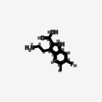 Cc1nc2c(CCN)c(C(=O)O)[nH]c2cc1F